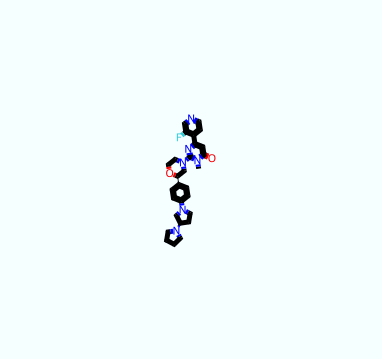 Cn1c(N2CCO[C@@H](c3ccc(N4CC[C@@H](N5CCCC5)C4)cc3)C2)nc(-c2ccncc2F)cc1=O